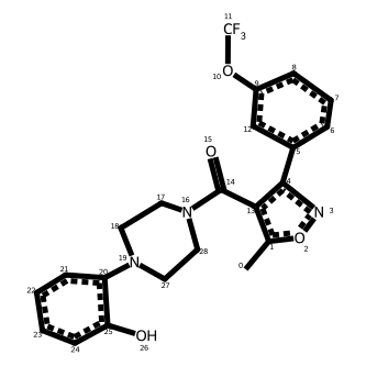 Cc1onc(-c2cccc(OC(F)(F)F)c2)c1C(=O)N1CCN(c2ccccc2O)CC1